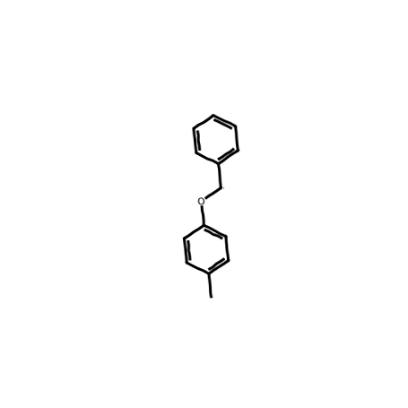 Cc1ccc(O[CH]c2ccccc2)cc1